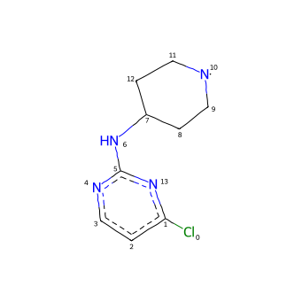 Clc1ccnc(NC2CC[N]CC2)n1